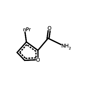 CCCc1ccoc1C(N)=O